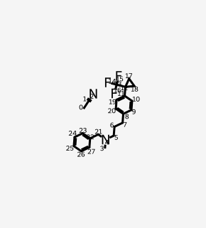 CC#N.CN(CCCc1ccc(C2(C(F)(F)F)CC2)cc1)Cc1ccccc1